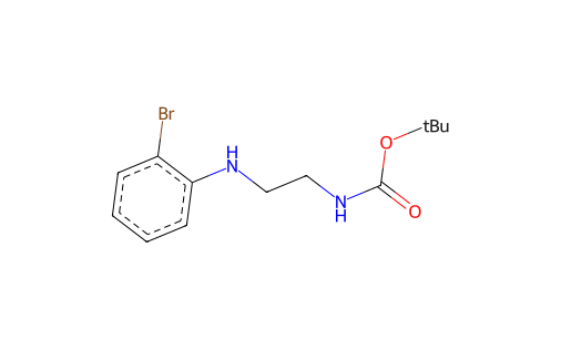 CC(C)(C)OC(=O)NCCNc1ccccc1Br